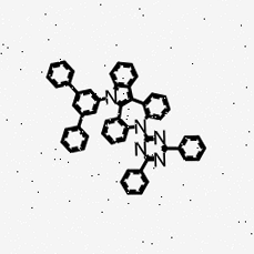 c1ccc(-c2cc(-c3ccccc3)cc(-n3c4c(c5ccccc53)-c3ccccc3N(c3nc(-c5ccccc5)nc(-c5ccccc5)n3)c3ccccc3-4)c2)cc1